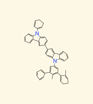 CC1=CCCC=C1c1cc(-n2c3ccccc3c3cc(-c4ccc5c(c4)c4ccccc4n5C4=CCCC=C4)ccc32)cc(-c2ccccc2)c1C